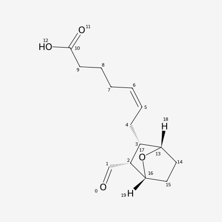 O=C[C@@H]1[C@H](C/C=C\CCCC(=O)O)[C@@H]2CC[C@H]1O2